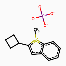 FC(F)(F)[s+]1c(C2CCC2)cc2ccccc21.[O-][I+3]([O-])([O-])[O-]